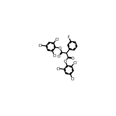 O=C(Oc1c(Cl)cc(Cl)cc1Cl)C(C(=O)Oc1c(Cl)cc(Cl)cc1Cl)c1cccc(F)c1